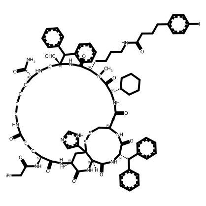 CC(C)CC(=O)N[C@H]1CCC(=O)NCCCC[C@H](C(N)=O)NC[C@](C=O)(C(c2ccccc2)c2ccccc2)NC(=O)[C@H](CCCCNC(=O)CCCc2ccc(I)cc2)N(C)C(=O)[C@H](C2CCCCC2)NC(=O)[C@@H]2CSSC3(c4cnc[nH]4)C[C@H](NC1=O)C(=O)N[C@@H]3C(=O)N[C@@H](C(c1ccccc1)c1ccccc1)C(=O)N2